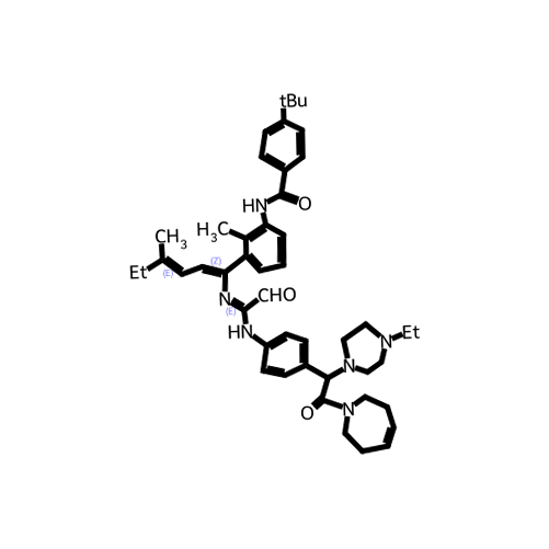 CC/C(C)=C/C=C(\N=C(/C=O)Nc1ccc(C(C(=O)N2CCC=CCC2)N2CCN(CC)CC2)cc1)c1cccc(NC(=O)c2ccc(C(C)(C)C)cc2)c1C